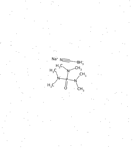 CN(C)P(=O)(N(C)C)N(C)C.[BH3-]C#N.[Na+]